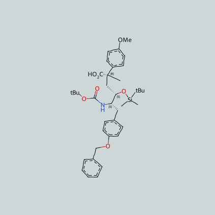 COc1ccc([C@@](C)(C[C@H](O[Si](C)(C)C(C)(C)C)[C@H](Cc2ccc(OCc3ccccc3)cc2)NC(=O)OC(C)(C)C)C(=O)O)cc1